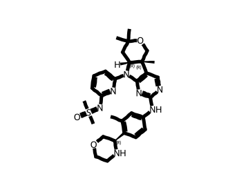 Cc1cc(Nc2ncc3c(n2)N(c2cccc(N=S(C)(C)=O)n2)[C@@H]2CC(C)(C)OC[C@]32C)ccc1[C@@H]1COCCN1